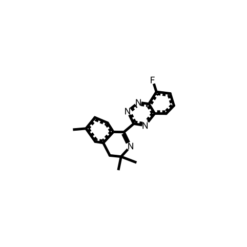 Cc1ccc2c(c1)CC(C)(C)N=C2c1nnc2c(F)cccc2n1